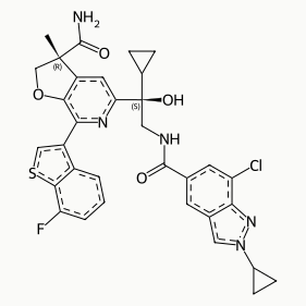 C[C@]1(C(N)=O)COc2c1cc([C@@](O)(CNC(=O)c1cc(Cl)c3nn(C4CC4)cc3c1)C1CC1)nc2-c1csc2c(F)cccc12